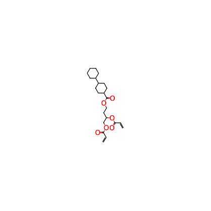 C=CC(=O)OCC(CCOC(=O)C1CCC(C2CCCCC2)CC1)OC(=O)C=C